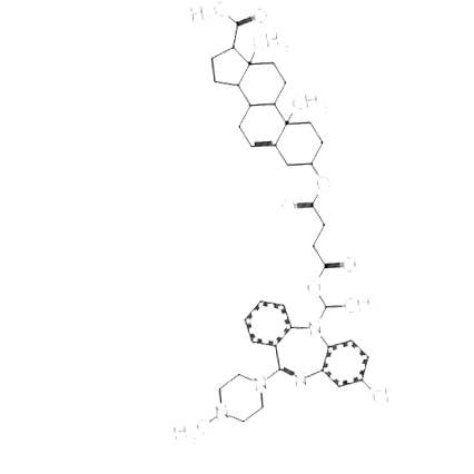 CC(=O)C1CCC2C3CC=C4CC(OC(=O)CCC(=O)OC(C)N5c6ccc(Cl)cc6N=C(N6CCN(C)CC6)c6ccccc65)CCC4(C)C3CCC12C